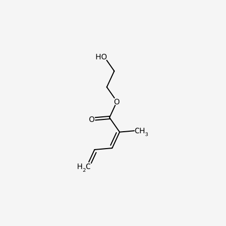 C=CC=C(C)C(=O)OCCO